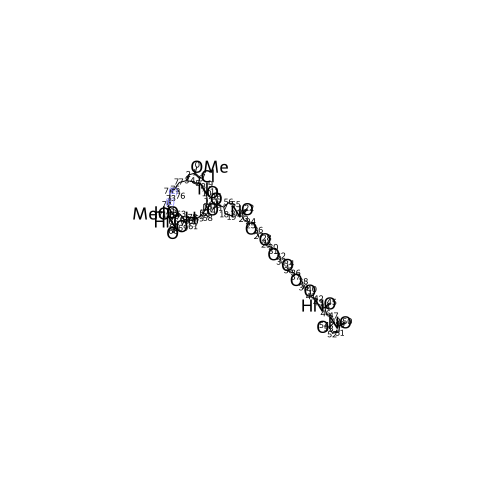 COc1cc2cc(c1Cl)N(C)C(=O)C[C@H](OC(=O)C1CCN(C(=O)CCOCCOCCOCCOCCOCCOCCNC(=O)CCN3C(=O)C=CC3=O)CC1)[C@@H](C)C[C@H](C)[C@@H]1C[C@@](O)(NC(=O)O1)C(OC)/C=C/C=C(\C)C2